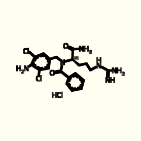 Cl.N=C(N)NCCC[C@H](C(N)=O)N(Cc1cc(Cl)c(N)c(Cl)c1)C(=O)c1ccccc1